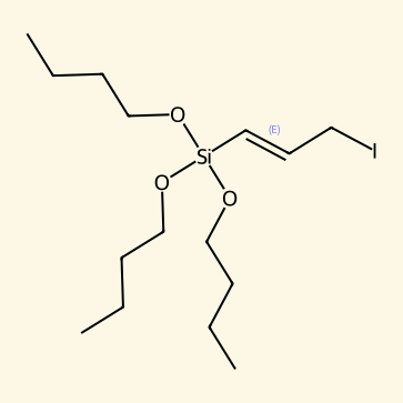 CCCCO[Si](/C=C/CI)(OCCCC)OCCCC